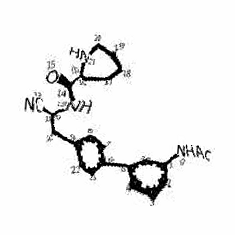 CC(=O)Nc1cccc(-c2ccc(C[C@@H](C#N)NC(=O)[C@@H]3CCCCN3)cc2)c1